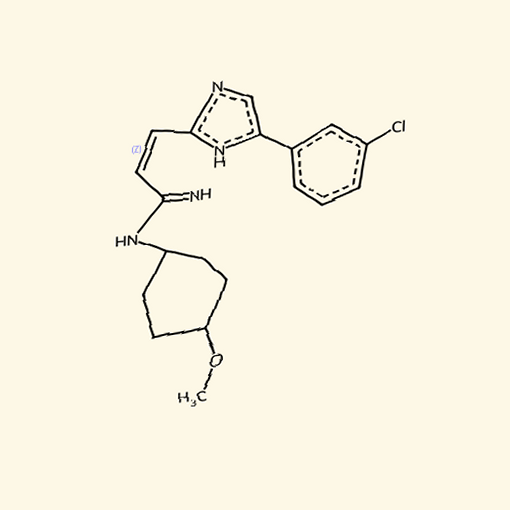 COC1CCC(NC(=N)/C=C\c2ncc(-c3cccc(Cl)c3)[nH]2)CC1